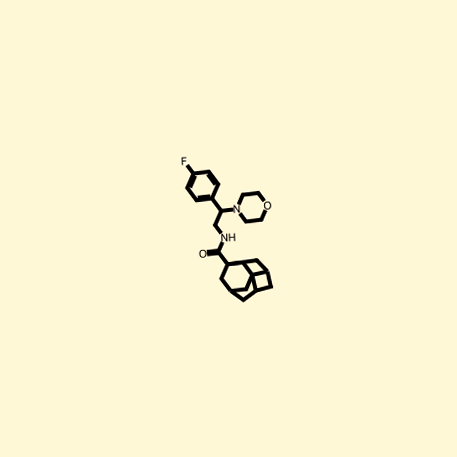 O=C(NCC(c1ccc(F)cc1)N1CCOCC1)C12CC3CC4CC(C1)C4(C3)C2